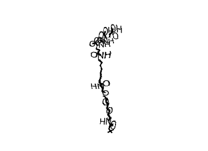 CC(C)(C)CC(=O)NCCOCCOCCOCCNC(=O)CCCCCCCNC(=O)CC[C@H](NC(=O)N[C@@H](CCC(=O)O)C(=O)O)C(=O)O